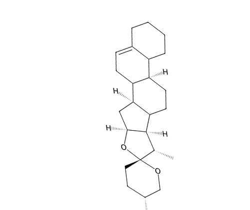 C[C@@H]1CC[C@@]2(OC1)O[C@H]1C[C@H]3C4CC=C5CCCCC5[C@H]4CCC3[C@H]1[C@@H]2C